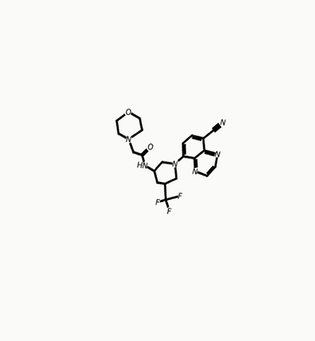 N#Cc1ccc(N2CC(NC(=O)CN3CCOCC3)CC(C(F)(F)F)C2)c2nccnc12